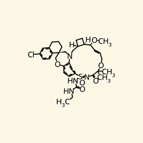 CCNC(=O)NS1(=O)=NC(=O)C(C)(C)OC/C=C/[C@H](OC)[C@@H]2CC[C@H]2CN2C[C@@]3(CCCc4cc(Cl)ccc43)COc3ccc1cc32